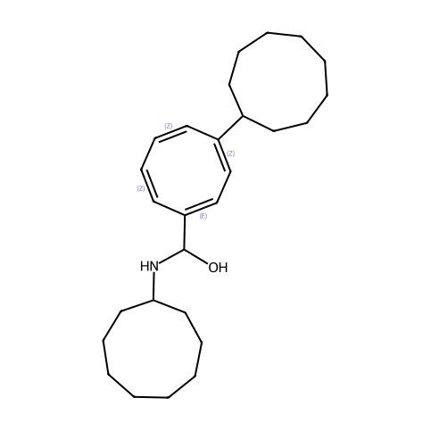 OC(NC1CCCCCCCC1)C1=C/C=C(C2CCCCCCCC2)\C=C/C=C\1